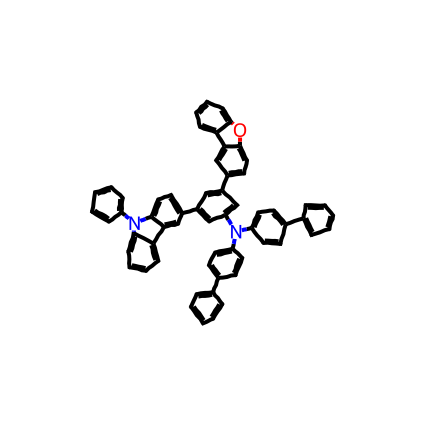 c1ccc(-c2ccc(N(c3ccc(-c4ccccc4)cc3)c3cc(-c4ccc5oc6ccccc6c5c4)cc(-c4ccc5c(c4)c4ccccc4n5-c4ccccc4)c3)cc2)cc1